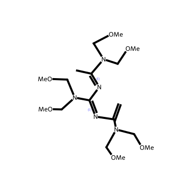 C=C(/N=C(\N=C(/C)N(COC)COC)N(COC)COC)N(COC)COC